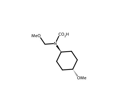 COCN(C(=O)O)[C@H]1CC[C@H](OC)CC1